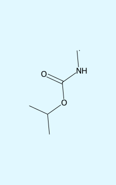 [CH2]NC(=O)OC(C)C